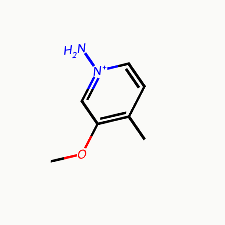 COc1c[n+](N)ccc1C